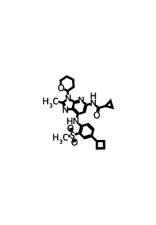 Cc1nc2c(Nc3ccc(C4CCC4)cc3S(C)(=O)=O)cc(NC(=O)C3CC3)nc2n1C1CCCCO1